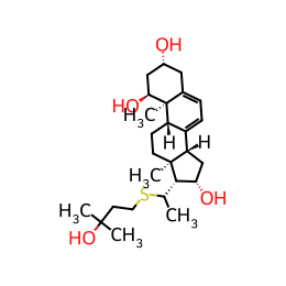 CC(SCCC(C)(C)O)[C@H]1[C@@H](O)C[C@H]2C3=CC=C4C[C@@H](O)C[C@H](O)[C@]4(C)[C@H]3CC[C@@]21C